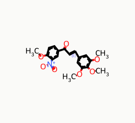 COc1ccc(C(=O)/C=C/c2cc(OC)c(OC)c(OC)c2)cc1[N+](=O)[O-]